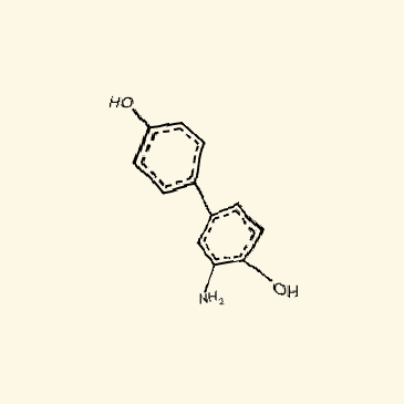 Nc1cc(-c2ccc(O)cc2)ccc1O